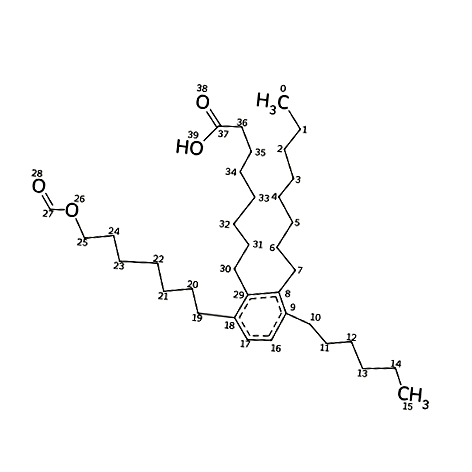 CCCCCCCCc1c(CCCCCC)ccc(CCCCCCCOC=O)c1CCCCCCCC(=O)O